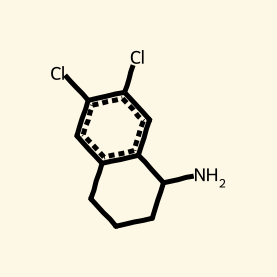 NC1CCCc2cc(Cl)c(Cl)cc21